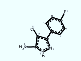 Nc1[nH]nc(-c2ccc(F)cc2)c1Cl